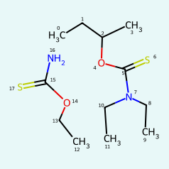 CCC(C)OC(=S)N(CC)CC.CCOC(N)=S